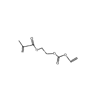 C=COC(=O)OCCOC(=O)C(=C)C